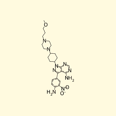 COCCCN1CCN(C2CCC(n3nc(-c4ccc(N)c([N+](=O)[O-])c4)c4c(N)ncnc43)CC2)CC1